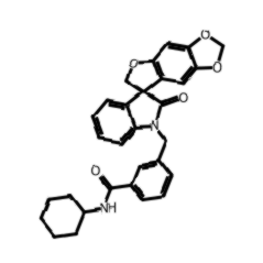 O=C(NC1CCCCC1)c1cccc(CN2C(=O)C3(COc4cc5c(cc43)OCO5)c3ccccc32)c1